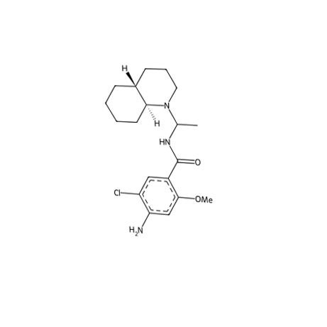 COc1cc(N)c(Cl)cc1C(=O)NC(C)N1CCC[C@H]2CCCC[C@@H]21